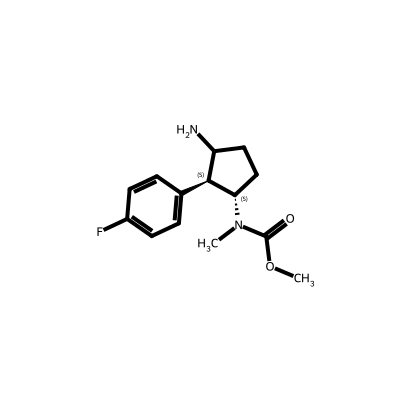 COC(=O)N(C)[C@H]1CCC(N)[C@@H]1c1ccc(F)cc1